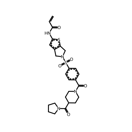 C=CC(=O)Nc1cc2c(s1)CN(S(=O)(=O)c1ccc(C(=O)N3CCC(C(=O)N4CCCC4)CC3)cc1)C2